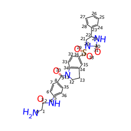 NCC(=O)Nc1ccc(C(=O)N2CCc3cc(S(=O)(=O)N4CC(c5ccccc5)NC4=O)ccc32)cc1